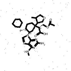 C1CCCCC1.CNc1nc(N)nc2c1ncn2[C@@H]1CC(C2COCC2C)([C@H](COC(C)=O)C(=O)O)CC[C@H]1F